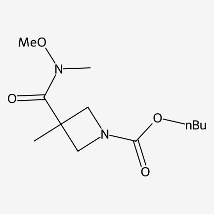 CCCCOC(=O)N1CC(C)(C(=O)N(C)OC)C1